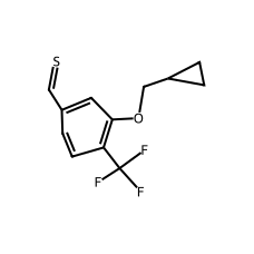 FC(F)(F)c1ccc(C=S)cc1OCC1CC1